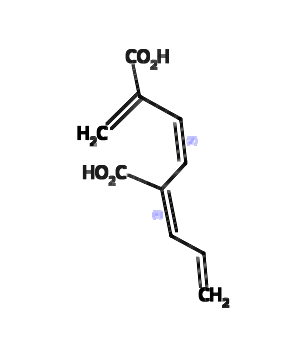 C=C/C=C(\C=C/C(=C)C(=O)O)C(=O)O